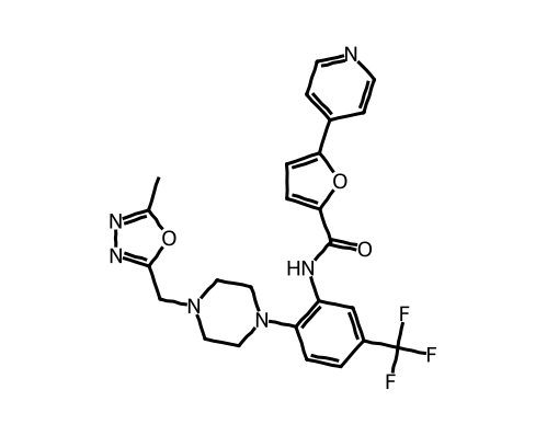 Cc1nnc(CN2CCN(c3ccc(C(F)(F)F)cc3NC(=O)c3ccc(-c4ccncc4)o3)CC2)o1